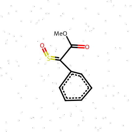 COC(=O)C(=S=O)c1ccccc1